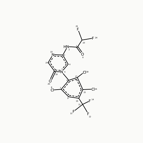 O=C(Nc1cn(-c2c(Cl)cc(C(F)(F)F)c(Cl)c2Cl)c(=O)cn1)C(F)F